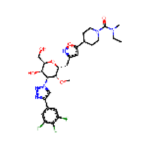 CCN(C)C(=O)N1CCC(c2cc(C[C@H]3O[C@H](CO)[C@H](O)[C@H](n4cc(-c5cc(F)c(F)c(F)c5)nn4)[C@H]3OC)no2)CC1